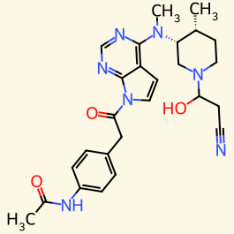 CC(=O)Nc1ccc(CC(=O)n2ccc3c(N(C)[C@H]4CN(C(O)CC#N)CC[C@H]4C)ncnc32)cc1